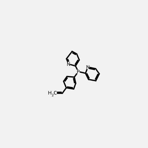 C=Cc1ccc(P(c2ccccn2)c2ccccn2)cc1